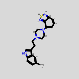 N#Cc1ccc2[nH]cc(CCN3CCN(c4cccc5nsnc45)CC3)c2c1